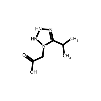 CC(C)C1=NNNN1CC(=O)O